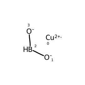 [Cu+2].[O-]B[O-]